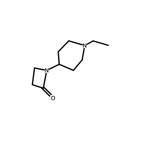 CCN1CCC(N2CCC2=O)CC1